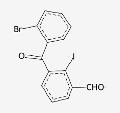 O=[C]c1cccc(C(=O)c2ccccc2Br)c1I